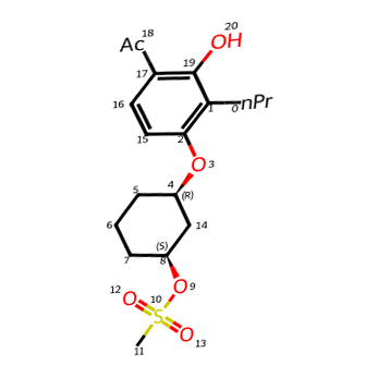 CCCc1c(O[C@@H]2CCC[C@H](OS(C)(=O)=O)C2)ccc(C(C)=O)c1O